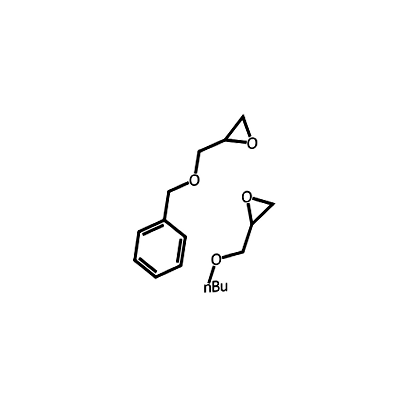 CCCCOCC1CO1.c1ccc(COCC2CO2)cc1